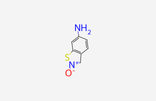 Nc1ccc2c[n+]([O-])sc2c1